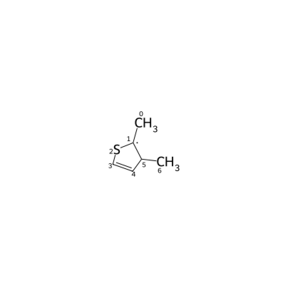 C[C]1SC=CC1C